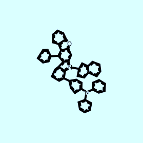 c1ccc(-c2c3c(cc4c2c2cccc(-c5ccc(N(c6ccccc6)c6ccccc6)cc5)c2n4-c2ccc4ccccc4c2)oc2ccccc23)cc1